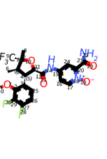 CCOc1c([C@@H]2[C@@H](C)[C@](C)(C(F)(F)F)O[C@H]2C(=O)Nc2cc[n+]([O-])c(C(N)=O)c2)ccc(F)c1F